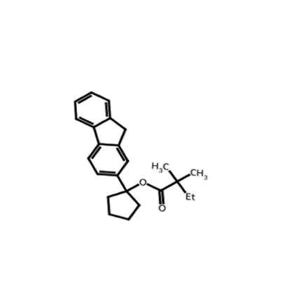 CCC(C)(C)C(=O)OC1(c2ccc3c(c2)Cc2ccccc2-3)CCCC1